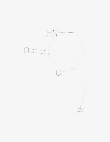 O=C1NCCC(CBr)O1